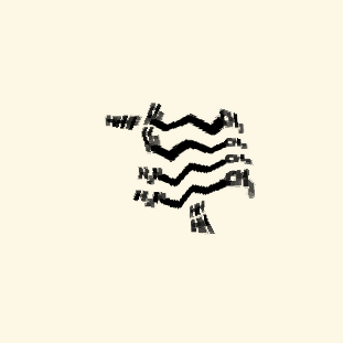 CCCCN.CCCCN.CCCCN.CCCCN.F.[HH].[HH].[HH]